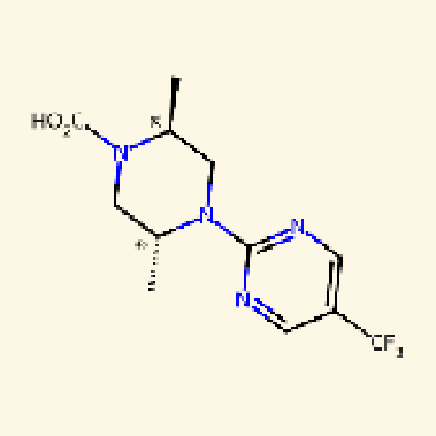 C[C@@H]1CN(C(=O)O)[C@@H](C)CN1c1ncc(C(F)(F)F)cn1